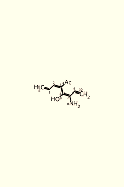 C=C/C=C(C(C)=O)\C(O)=C(\N)C=C